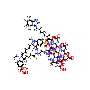 CCN1/C(=C/C=C/C=C/C2=[N+](CC)c3ccc(S(=O)(=O)O)cc3C2(C)C)C(C)(CCCC(=O)NCCCCC(NC(=O)[C@H](CC(=O)O)NC(=O)[C@H](CC(=O)O)NC(=O)[C@H](CC(=O)O)NC(=O)[C@H](CC(=O)O)NC(=O)[C@H](CC(=O)O)NC(=O)[C@@H](CC(=O)O)NC(=O)CCCCCCCn2cnc3c(I)c(I)c(I)c(I)c32)C(=O)O)c2cc(S(=O)(=O)O)ccc21